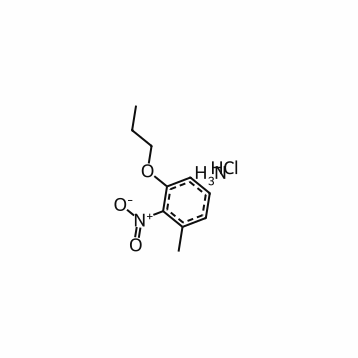 CCCOc1cccc(C)c1[N+](=O)[O-].Cl.N